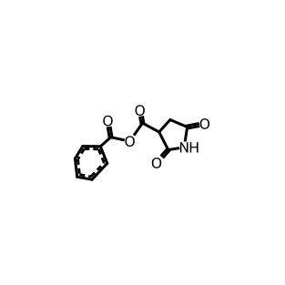 O=C1CC(C(=O)OC(=O)c2ccccc2)C(=O)N1